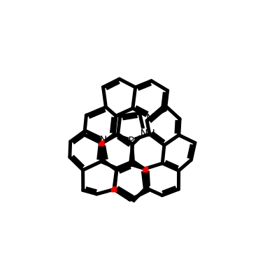 c1cnc2c(c1)ccc1cccc(P(c3cccc4ccc5cccnc5c34)c3cccc4ccc5ccc6ccc7ccc8cc[nH]c8c7c6c5c34)c12